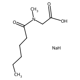 CCCCCC(=O)N(C)CC(=O)O.[NaH]